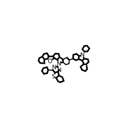 C1=C(c2ccc3c(c2)c2c4ccccc4ccc2n3-c2ccccc2)CCc2c1c1ccc3c4ccc5ccccc5c4oc3c1n2-c1nc(-c2ccccc2)c2sc3ccccc3c2n1